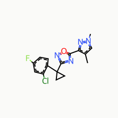 Cc1cn(C)nc1-c1nc(C2(c3ccc(F)cc3Cl)CC2)no1